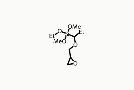 CCO[Si](OC)(OC)C(CC)OCC1CO1